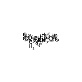 Cc1c([C@H](O)CNCC2(C)CCCN(C[C@H](O)c3ccc4c(c3C)COC4=O)C2)ccc2c1COC2=O